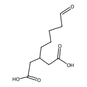 O=CCCCCC(CC(=O)O)CC(=O)O